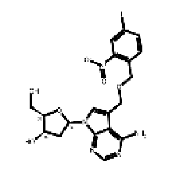 Nc1ncnc2c1c(COCc1ccc(I)cc1[N+](=O)[O-])cn2[C@H]1C[C@@H](O)[C@@H](CO)O1